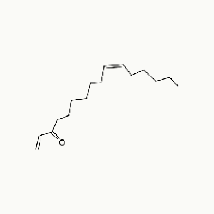 C=CC(=O)CCCCCC/C=C\CCCCC